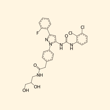 O=C(Cc1ccc(-n2nc(-c3ccccc3F)cc2NC(=O)Nc2cccc(Cl)c2Cl)cc1)NCC(O)CO